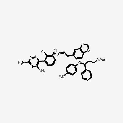 C=CCc1ccc2c(c1)OCO2.CNCCC(Oc1ccc(C(F)(F)F)cc1)c1ccccc1.Nc1nnc(-c2cccc(Cl)c2Cl)c(N)n1